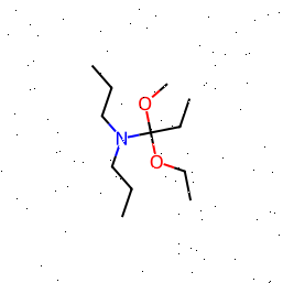 CCCN(CCC)C(CC)(OC)OCC